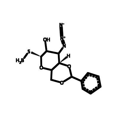 BS[C@H]1OC2COC(c3ccccc3)O[C@@H]2C(N=[N+]=[N-])C1O